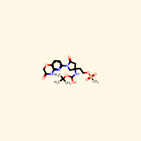 CC(C)(C)OC(O)NC1(CCOS(C)(=O)=O)CC(=O)N(c2ccc3c(n2)NC(=O)CO3)C1